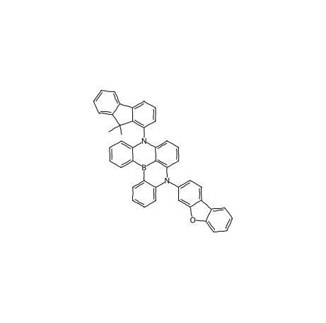 CC1(C)c2ccccc2-c2cccc(N3c4ccccc4B4c5ccccc5N(c5ccc6c(c5)oc5ccccc56)c5cccc3c54)c21